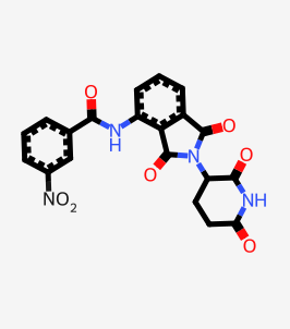 O=C1CCC(N2C(=O)c3cccc(NC(=O)c4cccc([N+](=O)[O-])c4)c3C2=O)C(=O)N1